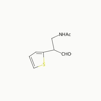 CC(=O)NCC([C]=O)c1cccs1